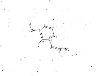 COc1ccnc(N=[N+]=[N-])c1C